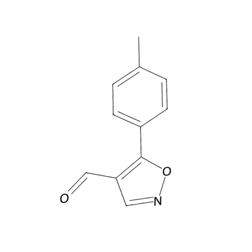 Cc1ccc(-c2oncc2C=O)cc1